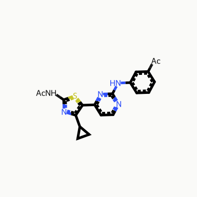 CC(=O)Nc1nc(C2CC2)c(-c2ccnc(Nc3cccc(C(C)=O)c3)n2)s1